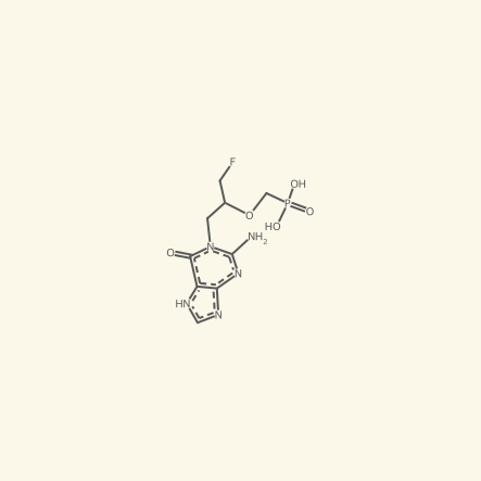 Nc1nc2nc[nH]c2c(=O)n1CC(CF)OCP(=O)(O)O